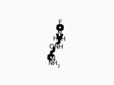 Nc1ccc(/C=C/C(=O)NCCC2[C@H]3CN(c4ccc(F)cc4)C[C@@H]23)cn1